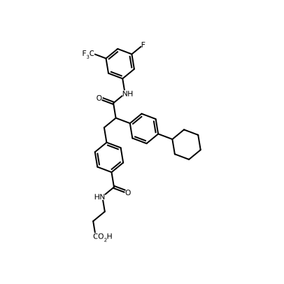 O=C(O)CCNC(=O)c1ccc(CC(C(=O)Nc2cc(F)cc(C(F)(F)F)c2)c2ccc(C3CCCCC3)cc2)cc1